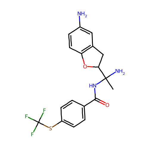 CC(N)(NC(=O)c1ccc(SC(F)(F)F)cc1)C1Cc2cc(N)ccc2O1